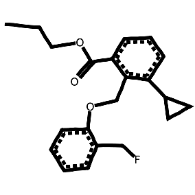 CCCOC(=O)c1cccc(C2CC2)c1COc1ccccc1CF